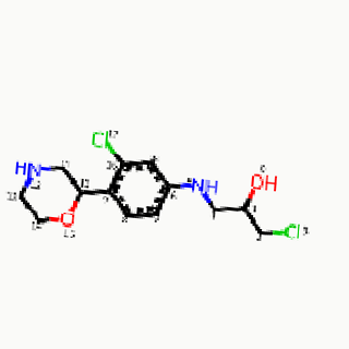 OC(CCl)CNc1ccc(C2CNCCO2)c(Cl)c1